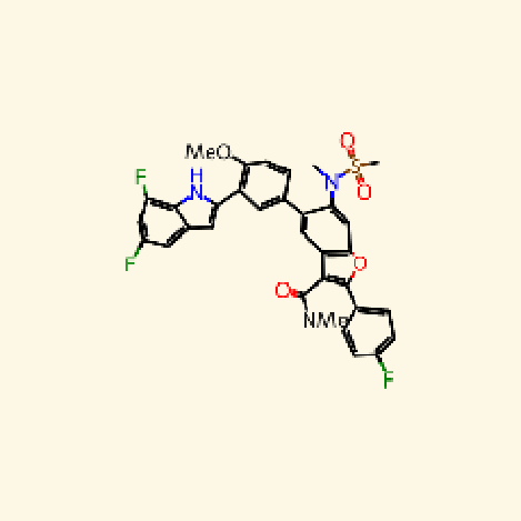 CNC(=O)c1c(-c2ccc(F)cc2)oc2cc(N(C)S(C)(=O)=O)c(-c3ccc(OC)c(-c4cc5cc(F)cc(F)c5[nH]4)c3)cc12